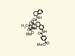 COC(=O)c1ccc(C(=O)Nc2ccc3c(c2)CN(C(=O)C(NC(=O)OC(C)(C)C)C(C)(C)SC)[C@H](C(=O)NC2CCCc4ccccc42)C3)cc1